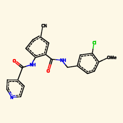 COc1ccc(CNC(=O)c2cc(C#N)ccc2NC(=O)c2ccncc2)cc1Cl